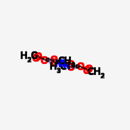 C=CC(=O)OCCCCOc1ccc(/C=C/C(=O)Oc2ccc(/C(C)=N/N=C(\C)c3ccc(OC(=O)/C=C/c4ccc(OCCCCOC(=O)C=C)cc4)cn3)nc2)cc1